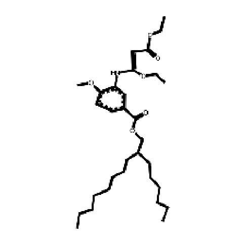 CCCCCCCCC(CCCCCC)COC(=O)c1ccc(OC)c(N/C(=C/C(=O)OCC)OCC)c1